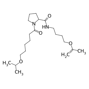 C=C(C)OCCCCNC(=O)C1CCCN1C(=O)CCCCCOC(C)C